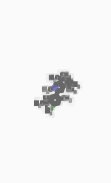 Cc1cc(F)c([Si](C)(C)C)cc1-c1cc([Si](C)(C)C)c([Si](C)(C)C)c[n+]1C